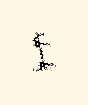 CCCc1c(OCCCCCOc2ccc(C(C)=O)c(OC)c2CCC)ccc2c1OC(C(=O)O)CC2